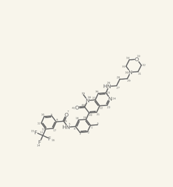 Cc1ccc(NC(=O)c2cccc(C(F)(F)F)c2)cc1-c1cc2cnc(NCCCN3CCOCC3)cc2n(C)c1=O